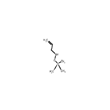 C=CCBO[Si](C)(C)C